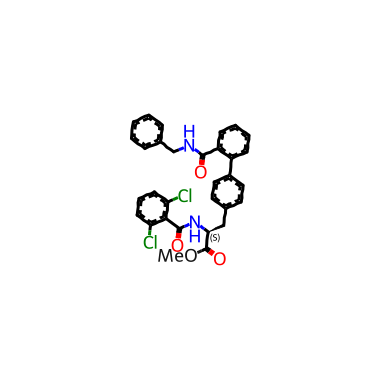 COC(=O)[C@H](Cc1ccc(-c2ccccc2C(=O)NCc2ccccc2)cc1)NC(=O)c1c(Cl)cccc1Cl